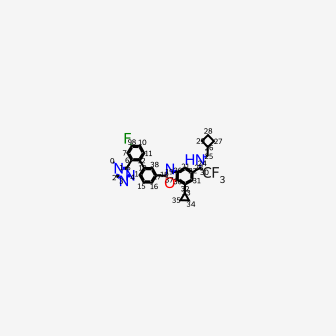 Cn1cnnc1-c1cc(F)ccc1-c1cccc(-c2nc3cc(C(NCC4CCC4)C(F)(F)F)cc(C4CC4)c3o2)c1